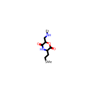 CCNCC1OC(=O)C(CCSC)NC1=O